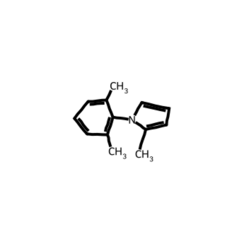 Cc1cccc(C)c1-n1cccc1C